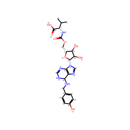 CC(C)[C@H](NC(=O)OC[C@H]1O[C@@H](n2cnc3c2N=CNC3NCc2ccc(O)cc2)C(O)C1O)C(=O)O